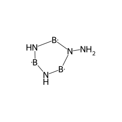 NN1[B]N[B]N[B]1